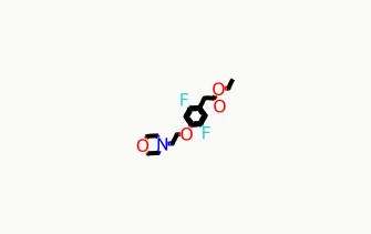 CCOC(=O)Cc1cc(F)c(OCCN2CCOCC2)cc1F